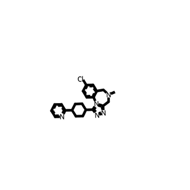 CN1Cc2cc(Cl)ccc2-n2c(nnc2C2CCC(c3ccccn3)CC2)C1